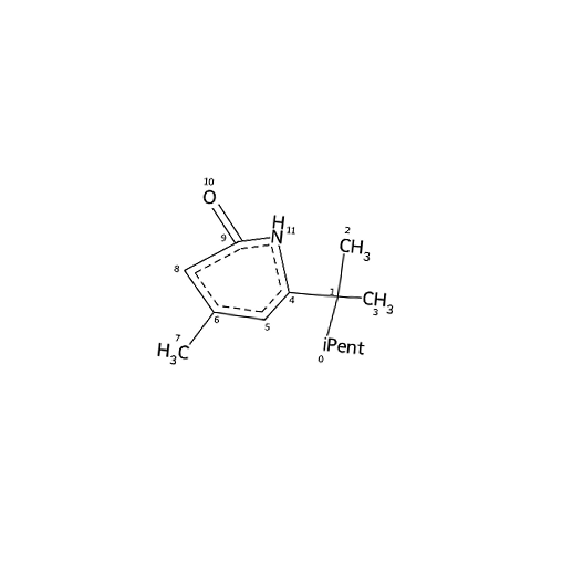 CCCC(C)C(C)(C)c1cc(C)cc(=O)[nH]1